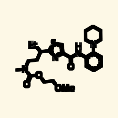 CCC(CCN(C)C(=O)OCCOC)c1nc(C(=O)Nc2ccccc2N2CCCCC2)cs1